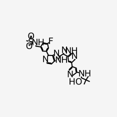 CC(C)(C)C(O)Nc1cncc(-c2cnc3[nH]nc(-c4nc5c(-c6cc(F)cc(CNS(C)(=O)=O)c6)nccc5[nH]4)c3c2)c1